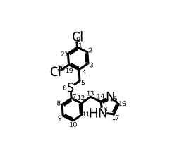 Clc1ccc(CSc2ccccc2Cc2ncc[nH]2)c(Cl)c1